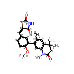 CCCN1C(=O)CC(C)(C)c2cc(C)c(-c3cc(C=C4SC(=O)NC4=O)ccc3OC(F)(F)F)cc21